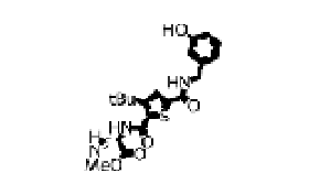 COC(=O)[C@H](CN)NC(=O)c1sc(C(=O)NCc2cccc(O)c2)cc1C(C)(C)C